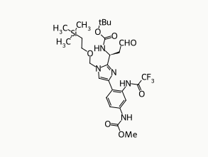 COC(=O)Nc1ccc(-c2cn(COCC[Si](C)(C)C)c([C@H](CC=O)NC(=O)OC(C)(C)C)n2)c(NC(=O)C(F)(F)F)c1